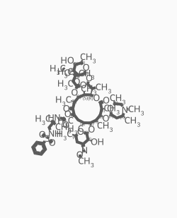 CON=C1C[C@@H](C)O[C@@H](O[C@@H]2[C@@H](C)[C@H](O[C@H]3C[C@@H](C)N(C)C[C@H](C)O3)[C@@H](C)C(=O)O[C@H](C(C)CO[C@@H]3O[C@H](C)[C@@H](O)[C@@H](OC)[C@H]3OC)[C@H](C)[C@@H](OC(=O)CC(C)C)[C@@H](C)C(=O)[C@@](C)(OC(=O)NC(C)(C)CNS(=O)(=O)c3ccccc3)C[C@@H]2C)[C@@H]1O